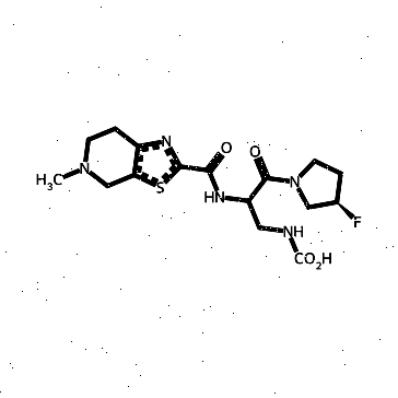 CN1CCc2nc(C(=O)NC(CNC(=O)O)C(=O)N3CC[C@@H](F)C3)sc2C1